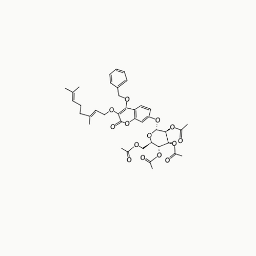 CC(=O)OC[C@H]1O[C@H](Oc2ccc3c(OCc4ccccc4)c(OC/C=C(\C)CCC=C(C)C)c(=O)oc3c2)[C@@H](OC(C)=O)[C@@H](OC(C)=O)[C@@H]1OC(C)=O